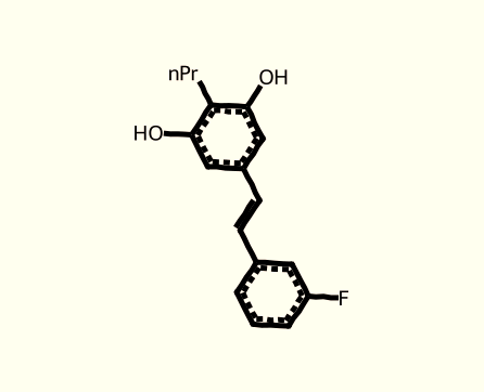 CCCc1c(O)cc(C=Cc2cccc(F)c2)cc1O